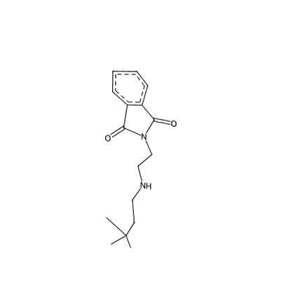 CC(C)(C)CCNCCN1C(=O)c2ccccc2C1=O